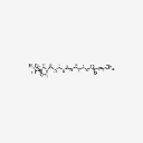 CC=CC(=O)OCCCCCCCCCCCC[Si](C)(C)I